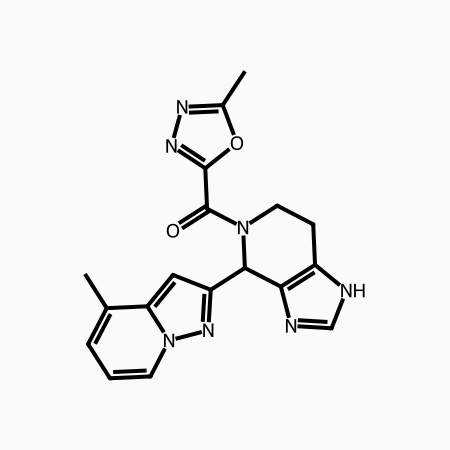 Cc1nnc(C(=O)N2CCc3[nH]cnc3C2c2cc3c(C)cccn3n2)o1